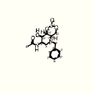 CC(=O)NC1CN(Cc2ccccc2)[C@@H]2COS(=O)O[C@H]2C1O